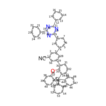 N#Cc1cc(-c2cccc(-c3nc(-c4ccccc4)nc(-c4ccccc4)n3)c2)cc(-c2cccc3c2Oc2ccccc2[Si]3(c2ccccc2)c2ccccc2)c1